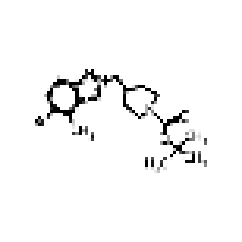 Cc1c(Br)ccc2nn(CC3CCN(C(=O)OC(C)(C)C)CC3)cc12